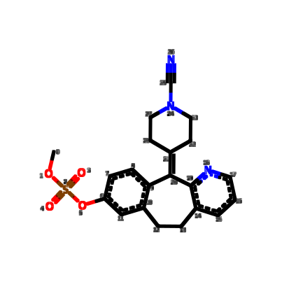 COS(=O)(=O)Oc1ccc2c(c1)CCc1cccnc1C2=C1CCN(C#N)CC1